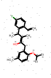 C=Cc1ccc(F)cc1C(C)C(C)=C(O)Cc1cc(C(=O)O)ccc1OC(CC)CC